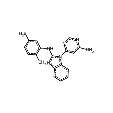 Bc1ccc(C)c(Nc2nc3ccccc3n2-c2cc(N)ncn2)c1